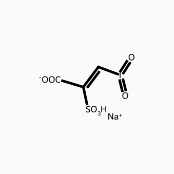 O=C([O-])/C(=C/I(=O)=O)S(=O)(=O)O.[Na+]